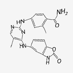 Cc1cc(Nc2ncc(C)c(Nc3ccc4oc(=O)[nH]c4c3)n2)ccc1C(N)=O